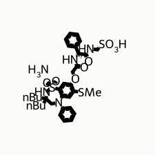 CCCCC1(CCCC)CN(c2ccccc2)c2cc(SC)c(OCC(=O)N[C@@H](C(=O)NCS(=O)(=O)O)c3ccccc3)cc2S(=O)(=O)N1.N